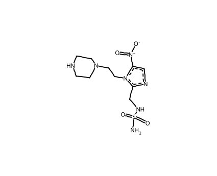 NS(=O)(=O)NCc1ncc([N+](=O)[O-])n1CCN1CCNCC1